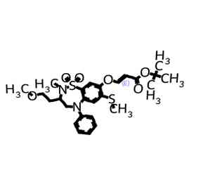 COCCC1CN(c2ccccc2)c2cc(SC)c(O/C=C/C(=O)OC(C)(C)C)cc2S(=O)(=O)N1C